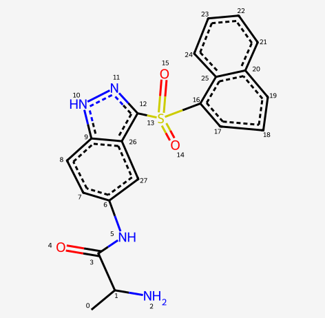 CC(N)C(=O)Nc1ccc2[nH]nc(S(=O)(=O)c3cccc4ccccc34)c2c1